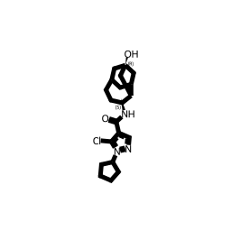 O=C(N[C@H]1CCC2CC3C[C@](O)(C2)CC31)c1cnn(C2CCCC2)c1Cl